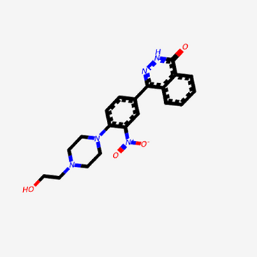 O=c1[nH]nc(-c2ccc(N3CCN(CCO)CC3)c([N+](=O)[O-])c2)c2ccccc12